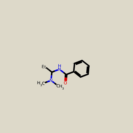 CCC(NC(=O)c1[c]cccc1)N(C)C